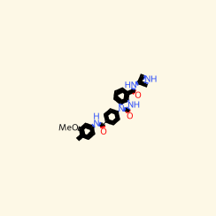 COc1cc(NC(=O)[C@H]2CC[C@@H](n3c(=O)[nH]c4c(C(=O)NC5CNC5)cccc43)CC2)ccc1C